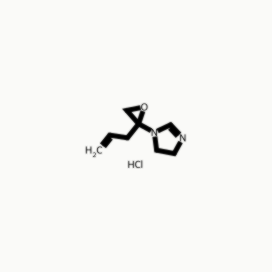 C=CCC1(N2C=NCC2)CO1.Cl